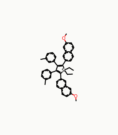 CC[Si]1(CC)C(c2ccc3ccc(OC)cc3c2)=C(c2cccc(C)c2)C(c2cccc(C)c2)=C1c1ccc2ccc(OC)cc2c1